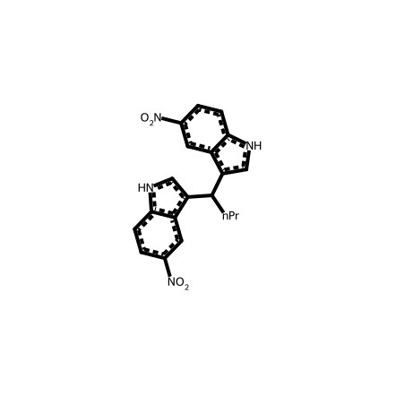 CCCC(c1c[nH]c2ccc([N+](=O)[O-])cc12)c1c[nH]c2ccc([N+](=O)[O-])cc12